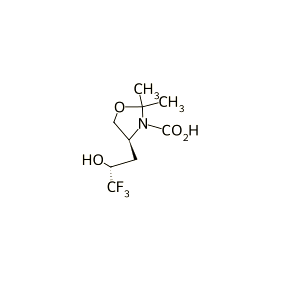 CC1(C)OC[C@H](C[C@@H](O)C(F)(F)F)N1C(=O)O